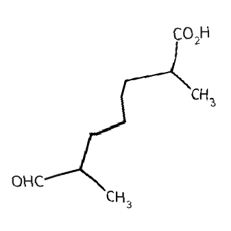 CC(C=O)CCCC(C)C(=O)O